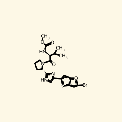 COC(=O)N[C@H](C(=O)N1CCC[C@H]1c1nc(-c2cc3oc(Br)cc3s2)c[nH]1)C(C)C